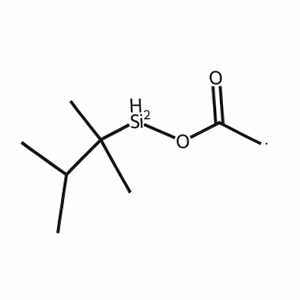 [CH2]C(=O)O[SiH2]C(C)(C)C(C)C